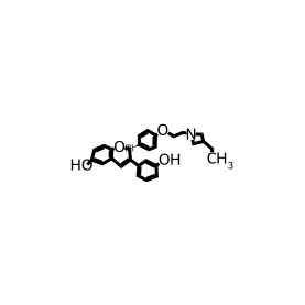 CCC1CN(CCOc2ccc([C@H]3Oc4ccc(O)cc4C=C3c3cccc(O)c3)cc2)C1